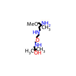 COCC(C)(N)CCNCCOCNCC(C)(C)O